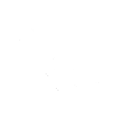 CCCCc1cc(O)c2sc3nc(CCC4CCCC4)n(Cc4ccc5c(c4)OCO5)c(=O)c3c2c1